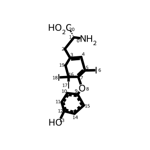 N[C@H](CC1=CC(I)=C(Oc2ccc(O)cc2)C(I)(I)C1)C(=O)O